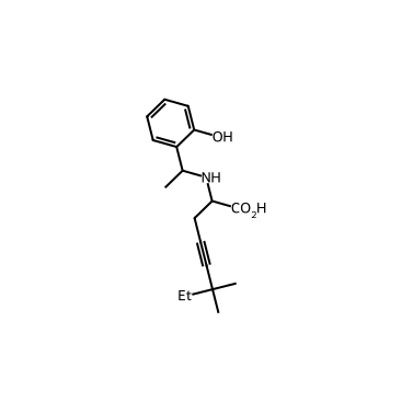 CCC(C)(C)C#CCC(NC(C)c1ccccc1O)C(=O)O